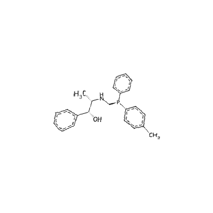 Cc1ccc([P@@](CN[C@@H](C)[C@H](O)c2ccccc2)c2ccccc2)cc1